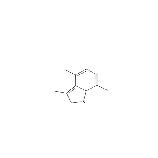 CC1=CC=C(C)C2SCC(C)=C12